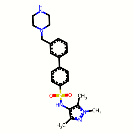 Cc1nn(C)c(C)c1NS(=O)(=O)c1ccc(-c2cccc(CN3CCNCC3)c2)cc1